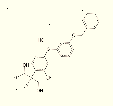 CCC(O)C(N)(CO)c1ccc(Sc2cccc(OCc3ccccc3)c2)cc1Cl.Cl